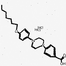 CCCCCCCOc1ccc(N2CCN(c3ccc(C(=O)O)cc3)CC2)cc1.Cl.Cl